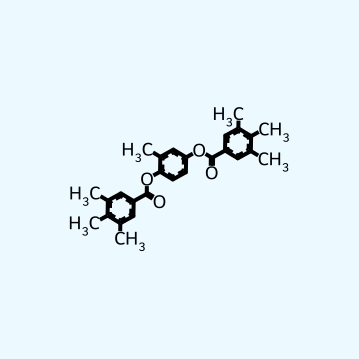 Cc1cc(OC(=O)c2cc(C)c(C)c(C)c2)ccc1OC(=O)c1cc(C)c(C)c(C)c1